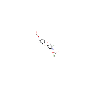 COCC(=O)Nc1ccc(S(=O)(=O)c2ccc(NC(=O)[C@@](C)(O)C(F)(F)F)c(Cl)c2)cc1